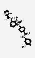 COc1cc(NC(=O)C2CCC(n3c(=O)[nH]c4c(NC(=O)c5nccn5C)cccc43)CC2)ccc1C